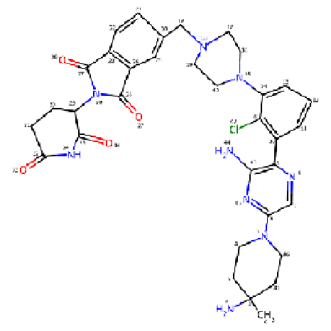 CC1(N)CCN(c2cnc(-c3cccc(N4CCN(Cc5ccc6c(c5)C(=O)N(C5CCC(=O)NC5=O)C6=O)CC4)c3Cl)c(N)n2)CC1